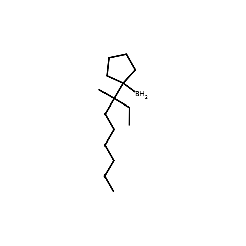 BC1(C(C)(CC)CCCCCC)CCCC1